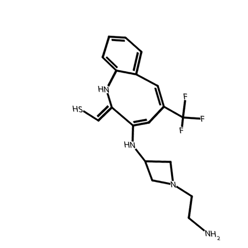 NCCN1CC(N/C2=C/C(C(F)(F)F)=C\c3ccccc3N\C2=C/S)C1